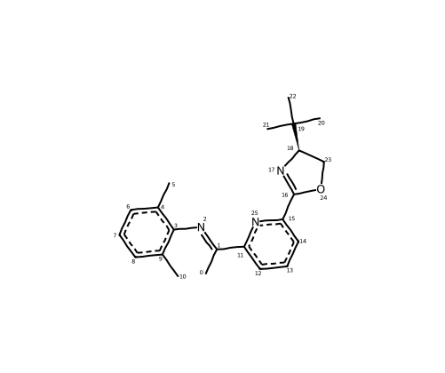 C/C(=N\c1c(C)cccc1C)c1cccc(C2=N[C@@H](C(C)(C)C)CO2)n1